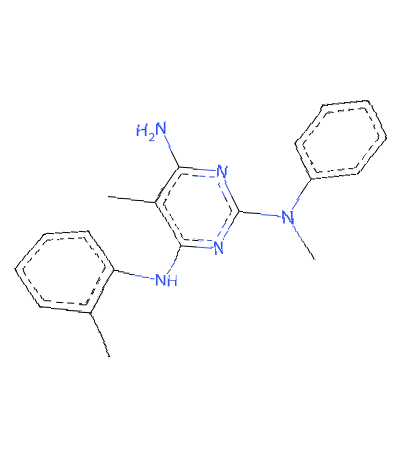 Cc1ccccc1Nc1nc(N(C)c2ccccc2)nc(N)c1C